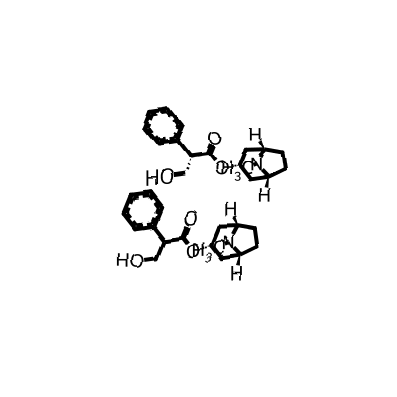 CN1[C@@H]2CC[C@H]1C[C@@H](OC(=O)C(CO)c1ccccc1)C2.CN1[C@@H]2CC[C@H]1C[C@@H](OC(=O)[C@H](CO)c1ccccc1)C2